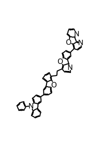 c1ccc(-n2c3ccccc3c3cc(-c4ccc5oc6c(CCc7ccnc8c7oc7ccc(-c9ccnc%10c9oc9cccnc9%10)cc78)cccc6c5c4)ccc32)cc1